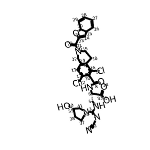 N#C/N=C(/NC[C@H](NC(=O)c1c(Cl)cc2c(c1Cl)CCN(C(=O)C1=CC3C=CC=CC3O1)C2)C(=O)O)N1CC[C@H](O)C1